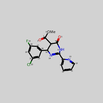 COC(=O)C1C(=O)NC(c2ccccn2)=NC1c1cc(F)cc(Cl)c1